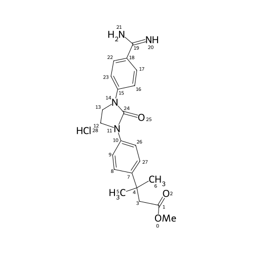 COC(=O)CC(C)(C)c1ccc(N2CCN(c3ccc(C(=N)N)cc3)C2=O)cc1.Cl